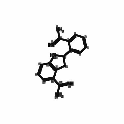 N=C(N)c1ccccc1C1Cc2c(cccc2C(=N)N)N1